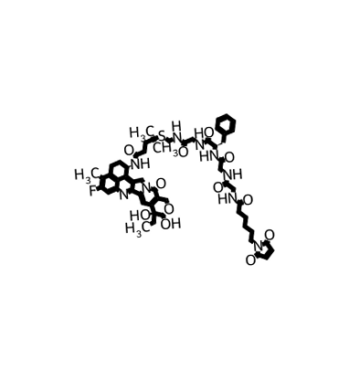 CC[C@]1(O)c2cc3n(c(=O)c2COC1O)Cc1c-3nc2cc(F)c(C)c3c2c1[C@@H](NC(=O)CCC(C)(C)SCNC(=O)CNC(=O)[C@H](Cc1ccccc1)NC(=O)CNC(=O)CNC(=O)CCCCCN1C(=O)C=CC1=O)CC3